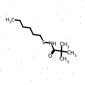 CCCCCCSNC(=O)C(C)(C)C